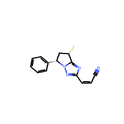 N#C/C=C\c1nc2n(n1)[C@H](c1ccccc1)C[C@@H]2F